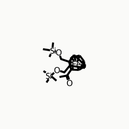 CC(=O)[C]12[CH]3[CH]4[CH]5[C]1(CO[Si](C)(C)C)[Fe]45321678[CH]2[CH]1[CH]6[C]7(CO[Si](C)(C)C)[CH]28